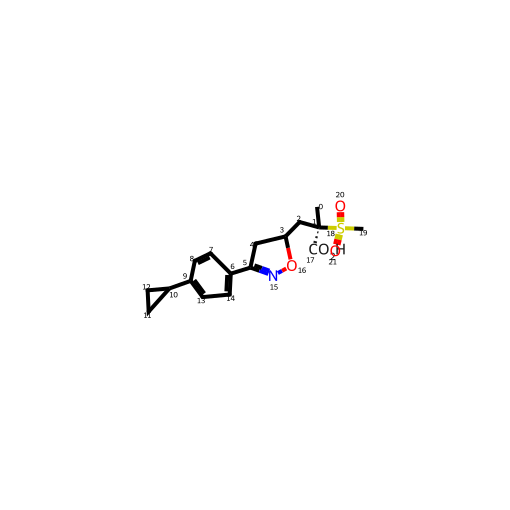 C[C@@](CC1CC(c2ccc(C3CC3)cc2)=NO1)(C(=O)O)S(C)(=O)=O